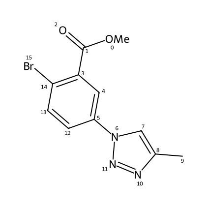 COC(=O)c1cc(-n2cc(C)nn2)ccc1Br